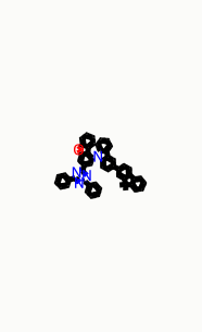 CC1(C)c2ccccc2-c2ccc(-c3ccc4c(c3)c3ccccc3n4-c3cc(-c4nc(-c5ccccc5)nc(-c5ccccc5)n4)cc4oc5ccccc5c34)cc21